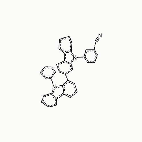 N#Cc1cccc(-n2c3ccccc3c3ccc(-c4cccc5c6ccccc6n(-c6ccccc6)c45)cc32)c1